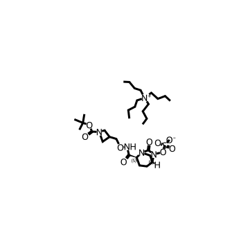 CC(C)(C)OC(=O)N1CC(CONC(=O)[C@@H]2CC[C@@H]3CN2C(=O)N3OS(=O)(=O)[O-])C1.CCCC[N+](CCCC)(CCCC)CCCC